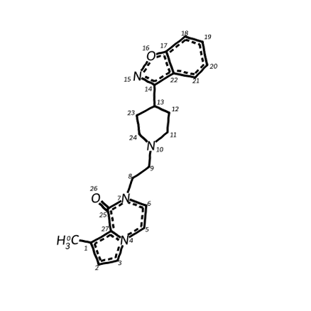 Cc1ccn2ccn(CCN3CCC(c4noc5ccccc45)CC3)c(=O)c12